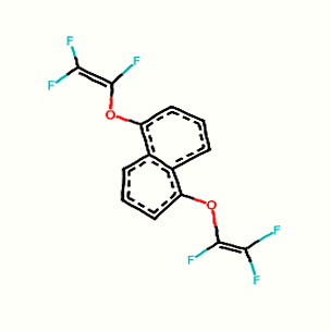 FC(F)=C(F)Oc1cccc2c(OC(F)=C(F)F)cccc12